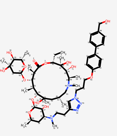 CC[C@H]1OC(=O)[C@H](C)[C@@H](O[C@H]2C[C@@](C)(O)[C@@H](O)[C@H](C)O2)[C@H](C)[C@@H](O[C@@H]2O[C@H](C)C[C@H](N(C)CCc3cn(CCCOc4ccc(-c5ccc(CO)cc5)cc4)nn3)[C@H]2O)[C@](C)(O)C[C@@H](C)CN(C)[C@H](C)[C@@H](O)[C@]1(C)O